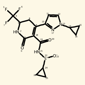 O=C1NC(C(F)(F)F)CC(c2ccn(C3CC3)n2)=C1C(=O)N[S+]([O-])C1CC1